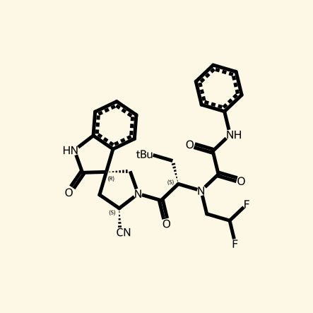 CC(C)(C)C[C@@H](C(=O)N1C[C@]2(C[C@H]1C#N)C(=O)Nc1ccccc12)N(CC(F)F)C(=O)C(=O)Nc1ccccc1